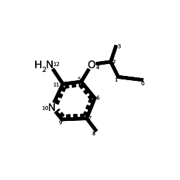 CCC(C)Oc1cc(C)cnc1N